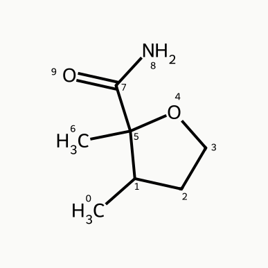 CC1CCOC1(C)C(N)=O